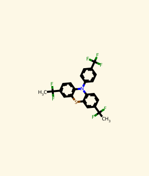 CC(F)(F)c1ccc2c(c1)Sc1cc(C(C)(F)F)ccc1N2c1ccc(C(F)(F)F)cc1